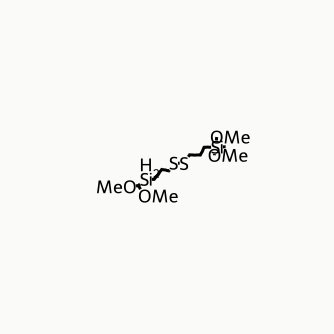 COC(OC)[SiH2]CCCSSCCC[Si](C)(OC)OC